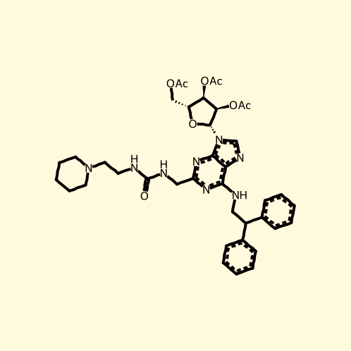 CC(=O)OC[C@H]1O[C@@H](n2cnc3c(NCC(c4ccccc4)c4ccccc4)nc(CNC(=O)NCCN4CCCCC4)nc32)[C@H](OC(C)=O)[C@@H]1OC(C)=O